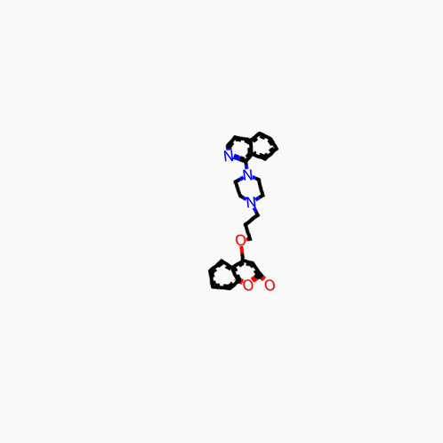 O=c1cc(OCCCN2CCN(c3nccc4ccccc34)CC2)c2ccccc2o1